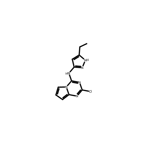 CCc1cc(Nc2nc(Cl)nc3cccn23)n[nH]1